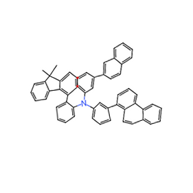 CC1(C)c2ccccc2-c2c(-c3ccccc3N(c3cccc(-c4ccc5ccccc5c4)c3)c3cccc(-c4cccc5c4ccc4ccccc45)c3)cccc21